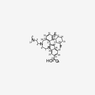 CN(C)CCN1CCn2c(c([C@@H]3CCCC[C@H]3F)c3ccc(C(=O)O)cc32)-c2cc(F)ccc2C1